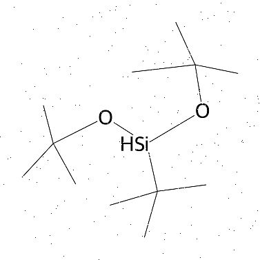 CC(C)(C)O[SiH](OC(C)(C)C)C(C)(C)C